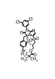 CC(C)(C)C(=O)OCCCS(=O)(=O)c1cnc2n1[C@](C)(Cc1ccc(Br)cc1)C(=O)N2c1cc(Cl)cc(Cl)c1